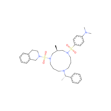 C[C@H]1CN(S(=O)(=O)c2ccc(N(C)C)cc2)CCCN([C@@H](C)c2ccccc2)CCCN(S(=O)(=O)N2CCc3ccccc3C2)C1